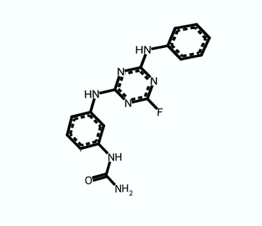 NC(=O)Nc1[c]ccc(Nc2nc(F)nc(Nc3ccccc3)n2)c1